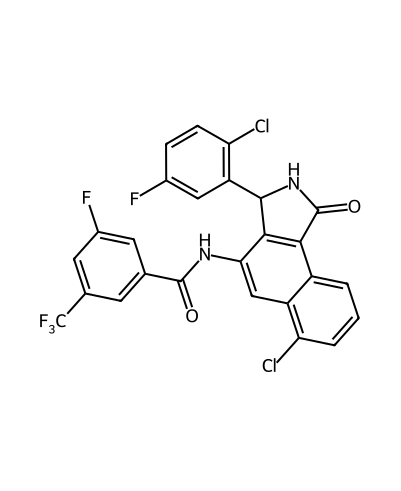 O=C(Nc1cc2c(Cl)cccc2c2c1C(c1cc(F)ccc1Cl)NC2=O)c1cc(F)cc(C(F)(F)F)c1